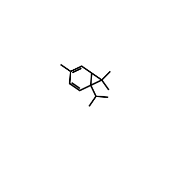 CC1=CC2C(C)(C)C2(C(C)C)C=C1